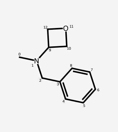 CN(Cc1ccccc1)C1COC1